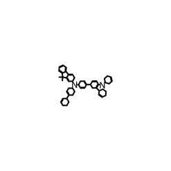 CC1(C)C2=CC(N(C3C=CC(C4C=CC5=C(C4)C4C=CCCC4N5C4CC=CCC4)=CC3)C3CC=C(C4C=CCCC4)CC3)CC=C2c2ccccc21